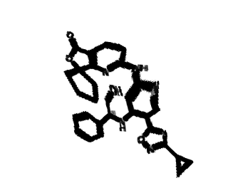 O=C1OC2(CCCC2)c2nc(Nc3cc(N[C@H](CO)c4ccccc4)c(-c4nc(C5CC5)no4)cn3)ccc21